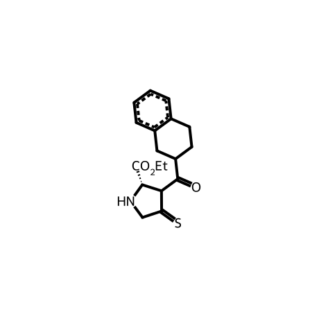 CCOC(=O)[C@H]1NCC(=S)C1C(=O)C1CCc2ccccc2C1